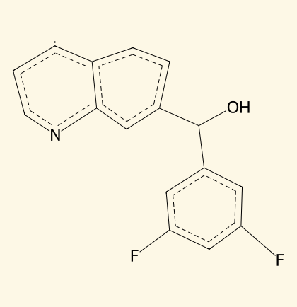 OC(c1cc(F)cc(F)c1)c1ccc2[c]ccnc2c1